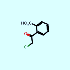 O=C(O)c1ccccc1C(=O)CCl